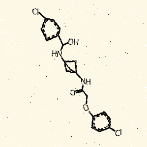 O=C(COc1ccc(Cl)cc1)NC12CC(NC(O)c3ccc(Cl)cc3)(C1)C2